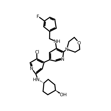 O[C@H]1CC[C@H](Nc2cc(-c3cnc(N4CCOCC4)c(NCc4cccc(F)c4)c3)c(Cl)cn2)CC1